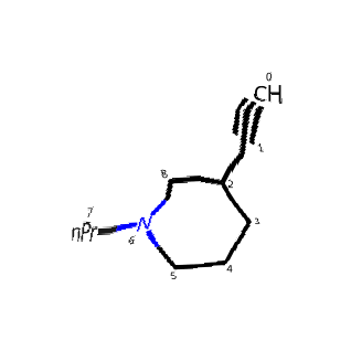 C#CC1CCCN(CCC)C1